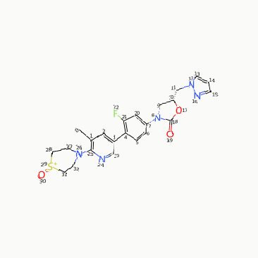 Cc1cc(-c2ccc(N3C[C@H](Cn4cccn4)OC3=O)cc2F)cnc1N1CC[S+]([O-])CC1